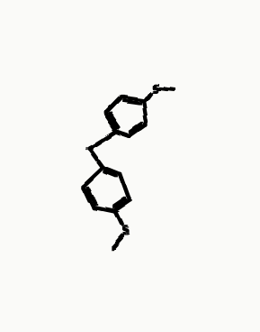 CSc1ccc([CH]c2ccc(SC)cc2)cc1